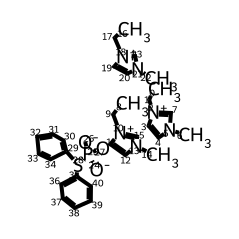 CC[n+]1ccn(C)c1.CC[n+]1ccn(C)c1.CC[n+]1ccn(C)c1.[O-]P([O-])([O-])=S(c1ccccc1)c1ccccc1